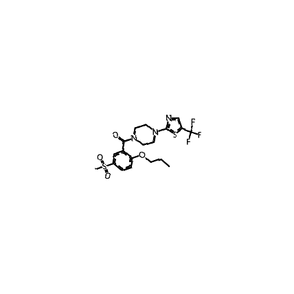 CCCOc1ccc(S(C)(=O)=O)cc1C(=O)N1CCN(c2ncc(C(F)(F)F)s2)CC1